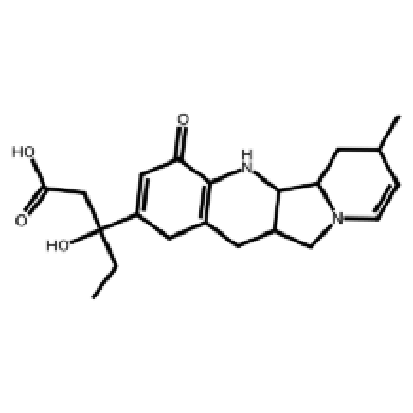 CCC(O)(CC(=O)O)C1=CC(=O)C2=C(C1)CC1CN3C=CC(C)CC3C1N2